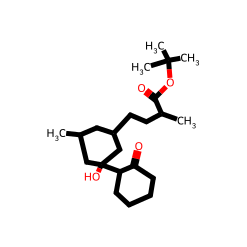 CC1CC(CCC(C)C(=O)OC(C)(C)C)CC(O)(C2CCCCC2=O)C1